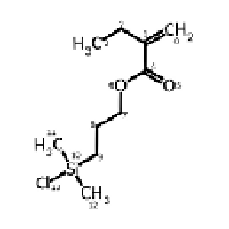 C=C(CC)C(=O)OCCC[Si](C)(C)Cl